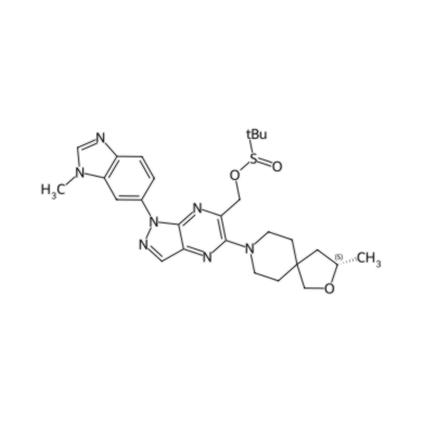 C[C@H]1CC2(CCN(c3nc4cnn(-c5ccc6ncn(C)c6c5)c4nc3COS(=O)C(C)(C)C)CC2)CO1